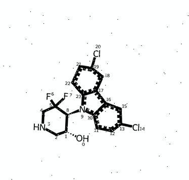 O[C@@H]1CNCC(F)(F)[C@H]1n1c2ccc(Cl)cc2c2cc(Cl)ccc21